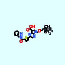 C[Si](C)(C)CCOCn1cc(C(=O)O)c2nc(-c3ccc(C(=O)NCc4ccccc4)s3)cnc21